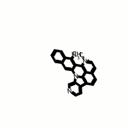 Cc1c2ccccc2cc2c1c1c3c(ccc4c5ccncc5n2c43)cc[n+]1C